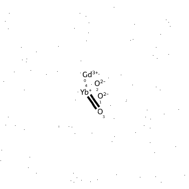 [Gd+3].[O-2].[O-2].[O]=[Yb+]